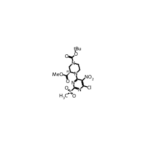 COC(=O)[C@H]1CN(C(=O)OC(C)(C)C)CCN1c1nc(S(C)(=O)=O)nc(Cl)c1[N+](=O)[O-]